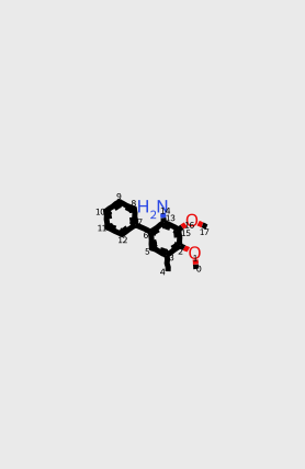 COc1c(C)cc(-c2ccccc2)c(N)c1OC